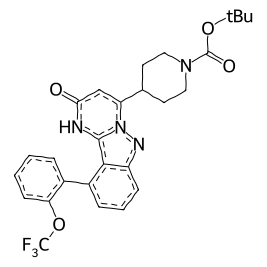 CC(C)(C)OC(=O)N1CCC(c2cc(=O)[nH]c3c4c(-c5ccccc5OC(F)(F)F)cccc4nn23)CC1